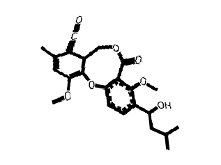 COC1=C2Oc3ccc(C(O)CC(C)C)c(OC)c3C(=O)OCC2C(=C=O)C(C)=C1